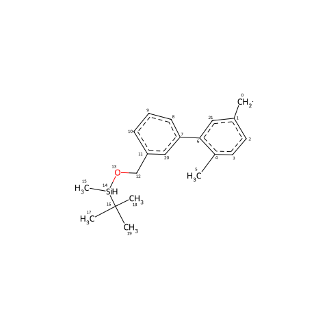 [CH2]c1ccc(C)c(-c2cccc(CO[SiH](C)C(C)(C)C)c2)c1